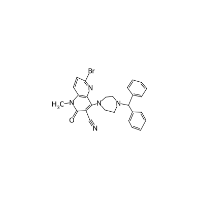 Cn1c(=O)c(C#N)c(N2CCN(C(c3ccccc3)c3ccccc3)CC2)c2nc(Br)ccc21